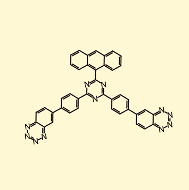 c1ccc2c(-c3nc(-c4ccc(-c5ccc6nnnnc6c5)cc4)nc(-c4ccc(-c5ccc6nnnnc6c5)cc4)n3)c3ccccc3cc2c1